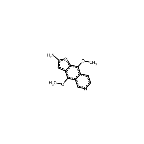 COc1c2cnccc2c(OC)c2sc(N)cc12